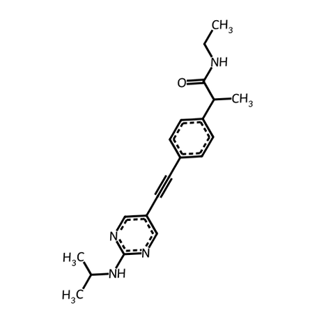 CCNC(=O)C(C)c1ccc(C#Cc2cnc(NC(C)C)nc2)cc1